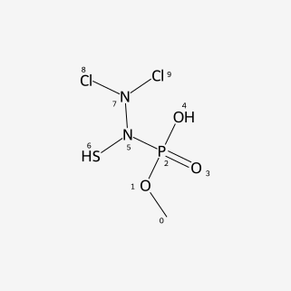 COP(=O)(O)N(S)N(Cl)Cl